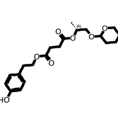 C[C@H](COC1CCCCO1)OC(=O)CCC(=O)OCCc1ccc(O)cc1